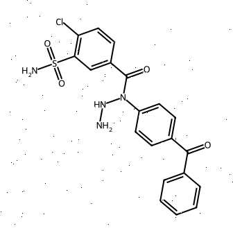 NNN(C(=O)c1ccc(Cl)c(S(N)(=O)=O)c1)c1ccc(C(=O)c2ccccc2)cc1